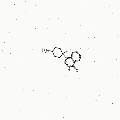 NC1CCC(F)(c2n[nH]c(=O)c3ccccc23)CC1